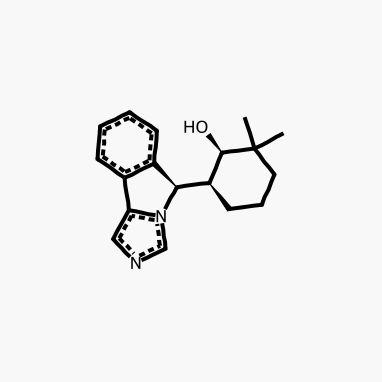 CC1(C)CCC[C@@H]([C@@H]2c3ccccc3-c3cncn32)[C@H]1O